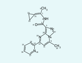 CC(NC(=O)c1ncn2c(C)cc(-c3ccccn3)nc12)=C1CC1